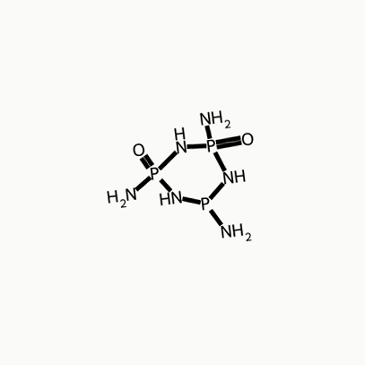 NP1NP(N)(=O)NP(N)(=O)N1